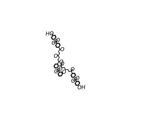 O=C(CCC(=O)c1ccc(S(=O)(=O)c2ccc(O)cc2)cc1)CCC(=O)c1cccc(S(=O)(=O)c2ccccc2)c1C(=O)CCC(=O)CCC(=O)c1ccc(S(=O)(=O)c2ccc(O)cc2)cc1